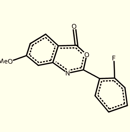 COc1ccc2c(=O)oc(-c3ccccc3F)nc2c1